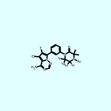 [2H]C1([2H])N(c2cccc(-c3c(F)c(Cl)c4c(N)ncnn34)c2)C(=O)C(C)(C)N(C(C)=O)C1([2H])[2H]